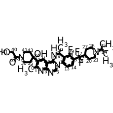 Cc1nc2ncnc(N[C@H](C)c3cccc(C(F)(F)C4CCN(C(C)C)CC4)c3F)c2cc1C1(O)CCN(C(=O)CO)CC1